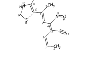 C\C=C/C(C#N)=C(\C=C(/C)C1=C(C)NCS1)N=O